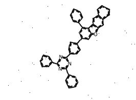 c1ccc(-c2nc(-c3ccccc3)nc(-c3ccc(-c4cc(-c5ccccc5)c5c(c4)oc4cc6ccccc6cc45)cc3)n2)cc1